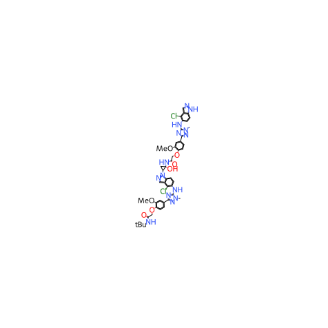 COc1cc(-c2nc(Nc3ccc4c(cnn4C4CC4(O)NC(=O)COc4ccc(-c5nc(Nc6ccc7[nH]ncc7c6Cl)n(C)n5)cc4OC)c3Cl)n(C)n2)ccc1OCC(=O)NC(C)(C)C